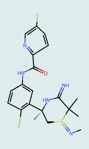 C/N=[S@]1/C[C@@](C)(c2cc(NC(=O)c3ccc(F)cn3)ccc2F)NC(=N)C1(C)C